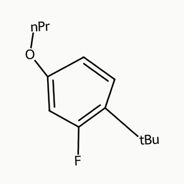 CCCOc1ccc(C(C)(C)C)c(F)c1